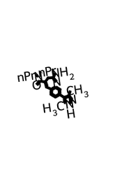 CCCN(CCC)C(=O)C1=Cc2ccc(-c3c(C)n[nH]c3C)cc2N=C(N)C1